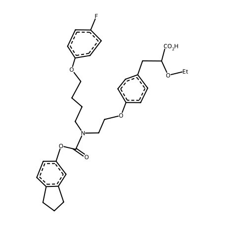 CCOC(Cc1ccc(OCCN(CCCCOc2ccc(F)cc2)C(=O)Oc2ccc3c(c2)CCC3)cc1)C(=O)O